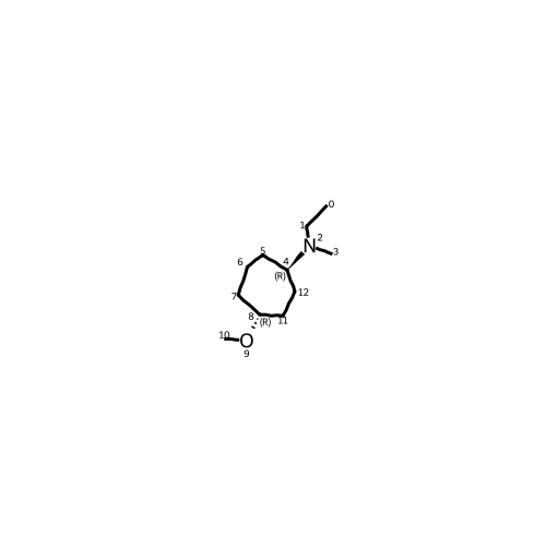 CCN(C)[C@@H]1CCC[C@@H](OC)CC1